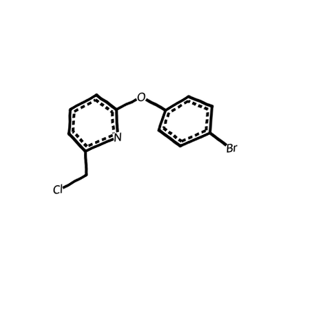 ClCc1cccc(Oc2ccc(Br)cc2)n1